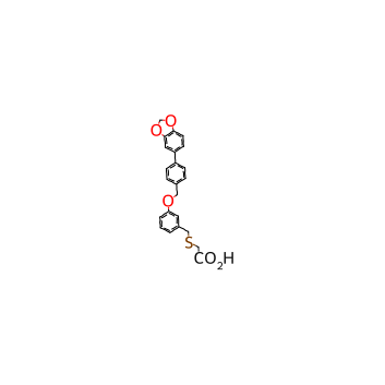 O=C(O)CSCc1cccc(OCc2ccc(-c3ccc4c(c3)OCO4)cc2)c1